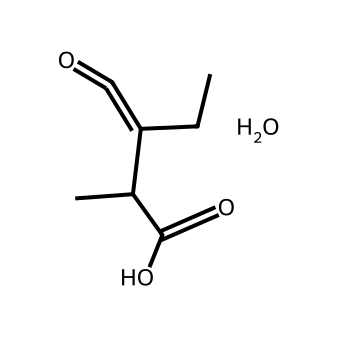 CCC(=C=O)C(C)C(=O)O.O